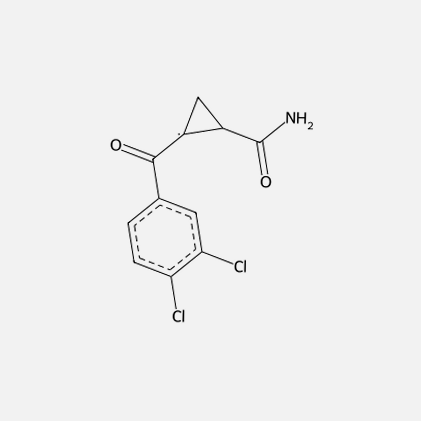 NC(=O)C1C[C]1C(=O)c1ccc(Cl)c(Cl)c1